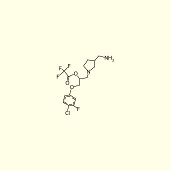 NCC1CCN(CC(COc2ccc(Cl)c(F)c2)OC(=O)C(F)(F)F)C1